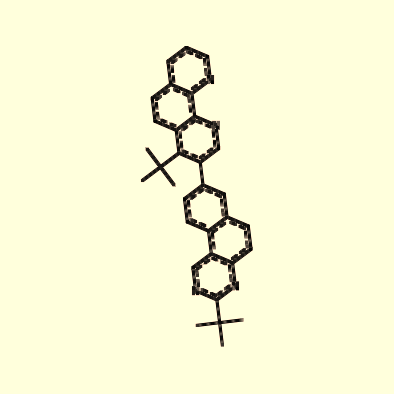 CC(C)(C)c1ncc2c(ccc3cc(-c4cnc5c(ccc6cccnc65)c4C(C)(C)C)ccc32)n1